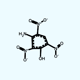 Nc1c([N+](=O)[O-])cc([N+](=O)[O-])c(O)c1[N+](=O)[O-]